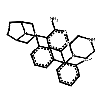 Nc1nnc(-c2ccccc2O)cc1N1CC2CCC(C1)N2Cc1cccc(CN2CCNCC2)c1